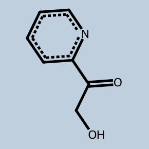 O=C(CO)c1ccccn1